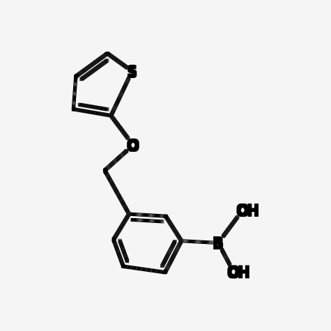 OB(O)c1cccc(COc2cccs2)c1